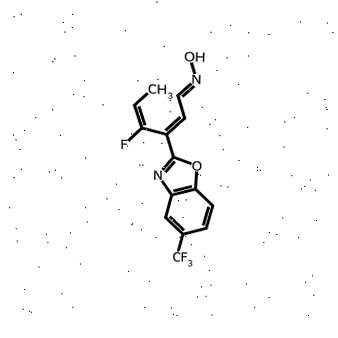 C\C=C(F)/C(=C\C=N\O)c1nc2cc(C(F)(F)F)ccc2o1